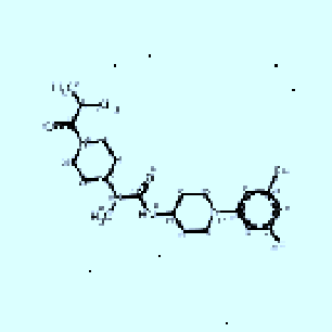 CC(C)C(=O)N1CCC(N(C)C(=O)NC2CCN(c3cc(F)cc(F)c3)CC2)CC1